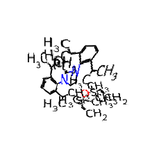 C=C[Si](C)(C)O[Si](C)(C)C=C.CC(C)c1cccc(C(C)C)c1N1CCN(c2c(C(C)C)cccc2C(C)C)[C]1=[Pt]